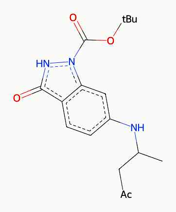 CC(=O)CC(C)Nc1ccc2c(=O)[nH]n(C(=O)OC(C)(C)C)c2c1